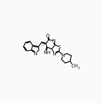 CC1CCN(C2=NC3C(=N)/C(=C\C4=c5ccccc5=NC4)C(=O)N=C3S2)CC1